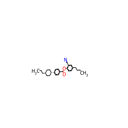 CCCCc1ccc(OC(=O)c2ccc([C@H]3CC[C@H](CCC)CC3)cc2)c(C#N)c1